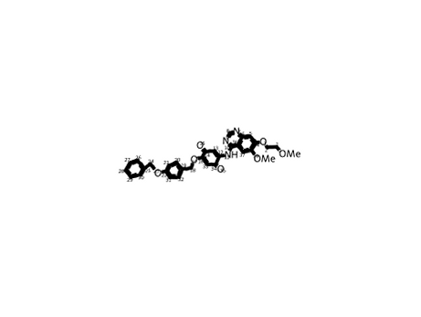 COCCOc1cc2ncnc(NC3=CC(=O)C(OCc4ccc(OCc5ccccc5)cc4)=CC3=O)c2cc1OC